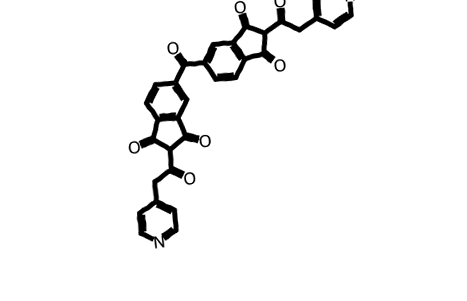 O=C(c1ccc2c(c1)C(=O)C(C(=O)Cc1ccncc1)C2=O)c1ccc2c(c1)C(=O)C(C(=O)Cc1ccncc1)C2=O